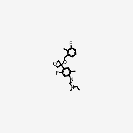 CCN(C)C=Nc1cc(F)c(C2(OCc3cccc(F)c3C)COC2)cc1C